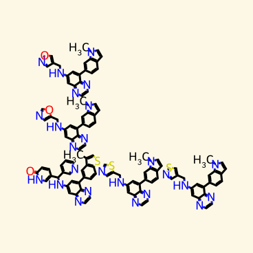 Cc1csc2ccc(-c3cc(NC(c4cccnc4)c4ccc(=O)[nH]c4)cc4nccnc34)cc12.Cn1ccc2ccc(-c3cc(NCc4cnco4)cc4nccnc34)cc21.Cn1ccc2ccc(-c3cc(NCc4cncs4)cc4nccnc34)cc21.Cn1ccc2ccc(-c3cc(NCc4cnoc4)cc4nccnc34)cc21.Cn1ccc2ccc(-c3cc(NCc4cnsc4)cc4nccnc34)cc21